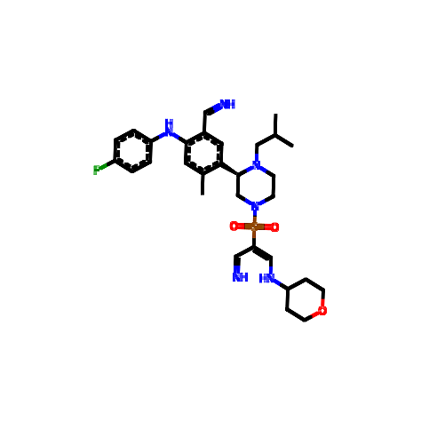 Cc1cc(Nc2ccc(F)cc2)c(C=N)cc1[C@@H]1CN(S(=O)(=O)/C(C=N)=C/NC2CCOCC2)CCN1CC(C)C